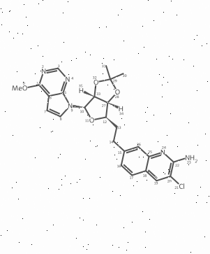 COc1ncnc2c1ccn2[C@@H]1O[C@H](CCc2ccc3cc(Cl)c(N)nc3c2)[C@H]2OC(C)(C)O[C@H]21